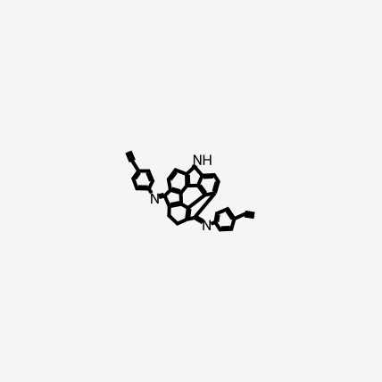 C#Cc1ccc(/N=c2/c3c4c5c(/c(=N/c6ccc(C#C)cc6)c6ccc7c(=N)c8ccc2c4c8c7c65)CC3)cc1